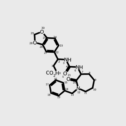 O=C(O)CC(NC(=O)NC1CCCCN(Cc2ccccc2)C1=O)c1ccc2c(c1)OCO2